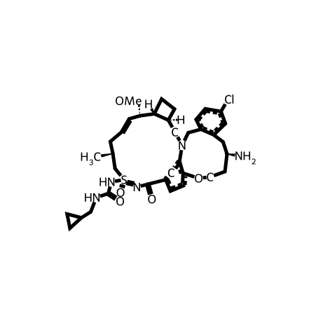 CO[C@H]1/C=C/C[C@H](C)CS(=O)(NC(=O)NCC2CC2)=NC(=O)c2ccc3c(c2)N(Cc2ccc(Cl)cc2C[C@@H](N)CCO3)C[C@@H]2CC[C@H]21